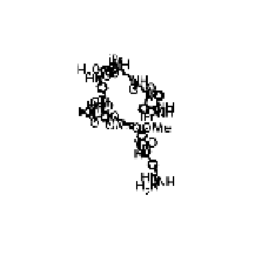 COc1cc2c(cc1OCCCCCOc1cc3c(cc1OC)C(=O)N1CC4(CC4)C[C@H]1C(O)N3C(=O)OCc1ccc(NC(=O)[C@H](C)CC(=O)[C@@H](NC(=O)CCCCNC(=O)CCC(=O)N3Cc4ccccc4C4=C(NNN4C(C)C)c4ccccc43)C(C)C)cc1)N=C[C@@H]1CC(c3ccc(CNC(=N)N)cc3)=CN1C2=O